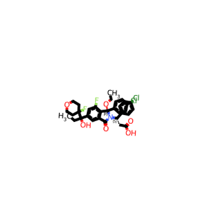 CCO[C@]1(c2ccc(Cl)cc2)c2c(F)cc(C(O)(CC)C3(F)CCOCC3)cc2C(=O)N1[C@@H](CC(=O)O)c1ccc(Cl)cc1